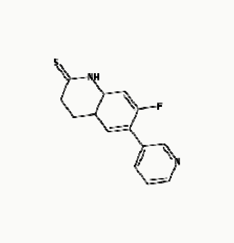 FC1=CC2NC(=S)CCC2C=C1c1cccnc1